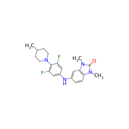 CC1CCN(c2c(F)cc(Nc3ccc4c(c3)n(C)c(=O)n4C)cc2F)CC1